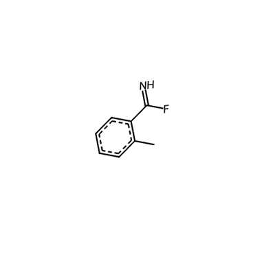 Cc1ccccc1C(=N)F